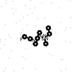 Fc1cccc(-c2ccc(-n3c4ccccc4c4cc5c(cc43)c3ccccc3n5-c3nc(-c4ccccc4)nc(-c4cccc(-c5ccccc5)c4)n3)cc2)c1